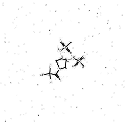 CS(=O)(=O)O[C@H]1CN(C(=O)C(F)(F)F)C[C@H]1OS(C)(=O)=O